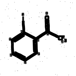 O=C(c1ccccc1I)C(F)(F)F